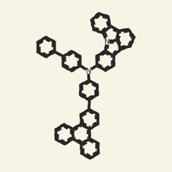 c1ccc(-c2ccc(N(c3ccc(-c4ccc5c6ccccc6c6ccccc6c5c4)cc3)c3ccc4c5cccc6c7ccccc7n(c4c3)c65)cc2)cc1